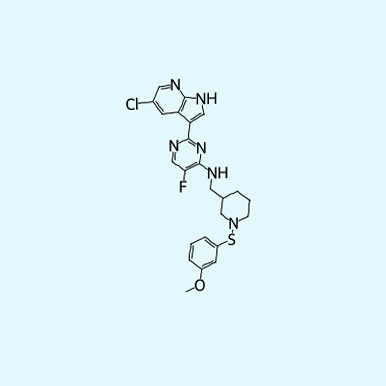 COc1cccc(SN2CCCC(CNc3nc(-c4c[nH]c5ncc(Cl)cc45)ncc3F)C2)c1